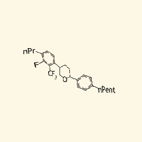 CCCCCc1ccc(C2CCC(c3ccc(CCC)c(F)c3C(F)(F)F)CO2)cc1